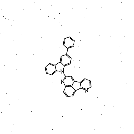 c1ccc(-c2ccc3c(c2)c2ccccc2n3-c2cc3c4c(cccc4n2)-c2ncccc2-3)cc1